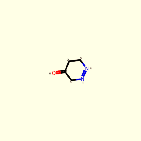 O=C1CCN=NC1